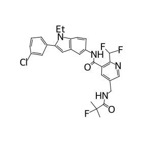 CCn1c(-c2cccc(Cl)c2)cc2cc(NC(=O)c3cc(CNC(=O)C(C)(C)F)cnc3C(F)F)ccc21